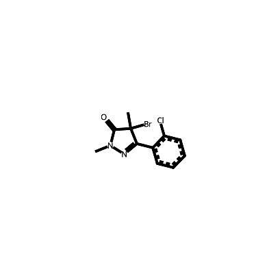 CN1N=C(c2ccccc2Cl)C(C)(Br)C1=O